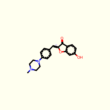 CN1CCN(c2ccc(/C=C3\Oc4cc(O)ccc4C3=O)cc2)CC1